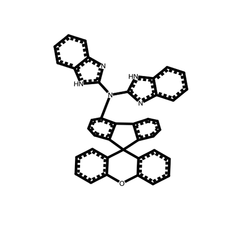 c1ccc2c(c1)Oc1ccccc1C21c2ccccc2-c2c(N(c3nc4ccccc4[nH]3)c3nc4ccccc4[nH]3)cccc21